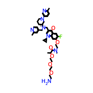 Cc1ccc(N2CCC[C@H](N(Cc3ccnc(C)c3)Cc3cn(C4CC4)c4cc(OCCN(C)C(=O)C(C)OCCOCCOCCN)c(F)cc4c3=O)C2)cn1